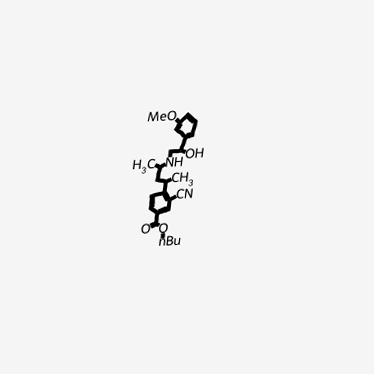 CCCCOC(=O)c1ccc(C(C)CC(C)NCC(O)c2cccc(OC)c2)c(C#N)c1